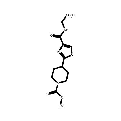 CC(C)(C)OC(=O)N1CCC(c2nc(C(=O)NCC(=O)O)cs2)CC1